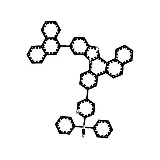 S=P(c1ccccc1)(c1ccccc1)c1ccc(-c2ccc3c(c2)c2ccc4ccccc4c2c2nc4ccc(-c5cc6ccccc6c6ccccc56)cc4n32)cn1